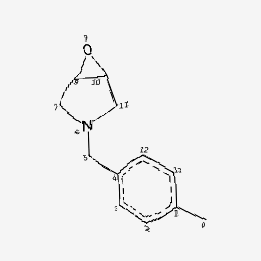 Cc1ccc(CN2CC3OC3C2)cc1